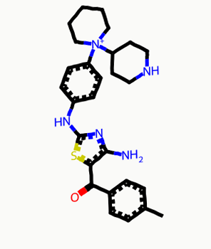 Cc1ccc(C(=O)c2sc(Nc3ccc([N+]4(C5CCNCC5)CCCCC4)cc3)nc2N)cc1